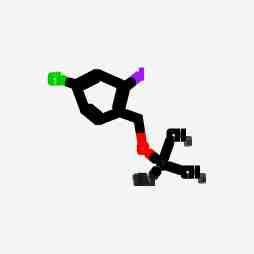 CC(C)(C)[Si](C)(C)OCc1ccc(Cl)cc1I